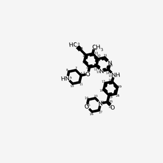 C#Cc1cc(OC2CCNCC2)c2nc(Nc3ccc(C(=O)N4CCOCC4)cc3)ncc2c1C